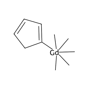 [CH3][Gd]([CH3])([CH3])([CH3])([CH3])[C]1=CC=CC1